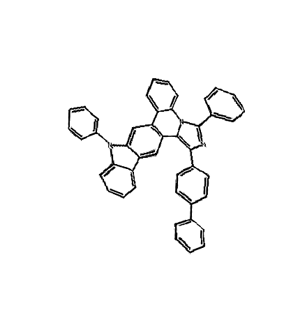 c1ccc(-c2ccc(-c3nc(-c4ccccc4)n4c5ccccc5c5cc6c(cc5c34)c3ccccc3n6-c3ccccc3)cc2)cc1